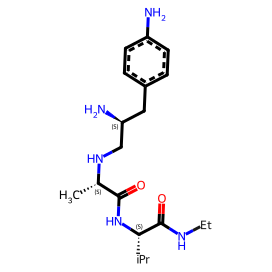 CCNC(=O)[C@@H](NC(=O)[C@H](C)NC[C@@H](N)Cc1ccc(N)cc1)C(C)C